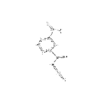 [N-]=[N+]=NC(=O)c1cccc([N+](=O)[O-])c1